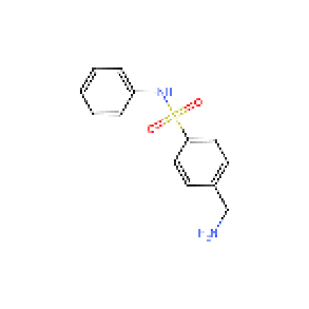 NCc1ccc(S(=O)(=O)Nc2ccccc2)cc1